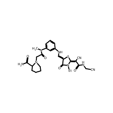 CCn1c(=C(C#N)C(=O)NCC#N)sc(=CNc2cccc(N(C)C(=O)CN3CCCCC3C(N)=O)c2)c1=O